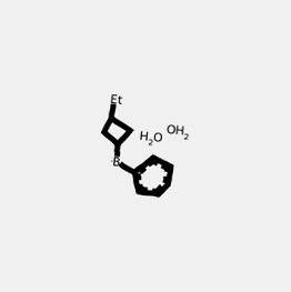 CCC1CC([B]c2ccccc2)C1.O.O